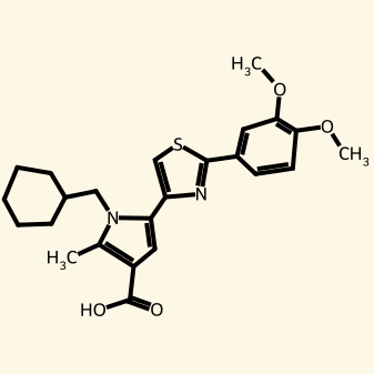 COc1ccc(-c2nc(-c3cc(C(=O)O)c(C)n3CC3CCCCC3)cs2)cc1OC